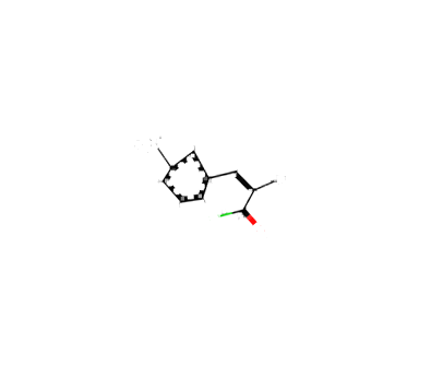 CCC(=Cc1cccc([N+](=O)[O-])c1)C(=O)Cl